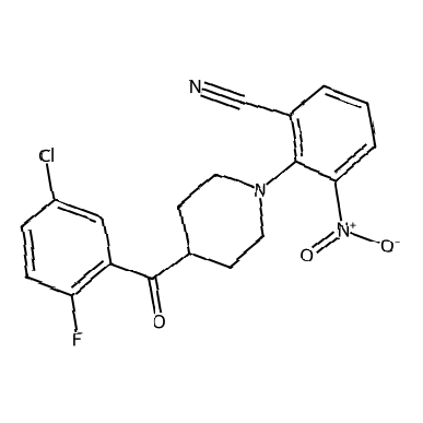 N#Cc1cccc([N+](=O)[O-])c1N1CCC(C(=O)c2cc(Cl)ccc2F)CC1